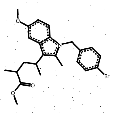 COC(=O)C(C)CC(C)c1c(C)n(Cc2ccc(Br)cc2)c2ccc(OC)cc12